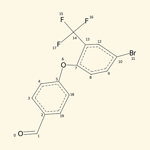 O=Cc1ccc(Oc2ccc(Br)cc2C(F)(F)F)cc1